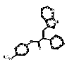 COc1ccc(NC(=O)/C(=C/c2c[nH]c3ncccc23)c2ccccc2)cc1